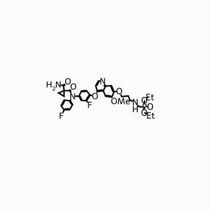 CCOP(=O)(CNCCCOc1cc2nccc(Oc3ccc(N(C(=O)C4(C(N)=O)CC4)c4ccc(F)cc4)cc3F)c2cc1OC)OCC